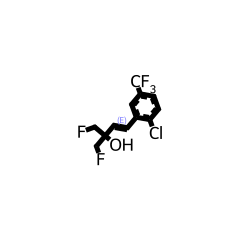 OC(/C=C/c1cc(C(F)(F)F)ccc1Cl)(CF)CF